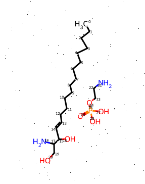 CCCCCCCCCCCCC/C=C/C(O)C(N)CO.NCCOP(=O)(O)O